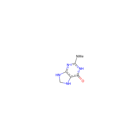 CNc1nc2c(c(=O)[nH]1)NCN2